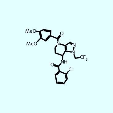 COc1ccc(C(=O)N2CCC(NC(=O)c3ccccc3Cl)c3c2cnn3CC(F)(F)F)cc1OC